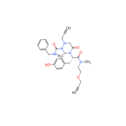 C#CCOCCN(C)C(=O)[C@H](Cc1ccc(O)cc1)N1C(=O)CN(CC#C)N(C(=O)NCc2ccccc2)[C@H]1C